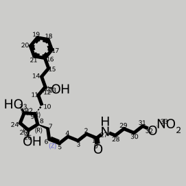 O=C(CCC/C=C\C[C@@H]1[C@@H](CC[C@@H](O)CCc2ccccc2)[C@H](O)C[C@@H]1O)NCCCCO[N+](=O)[O-]